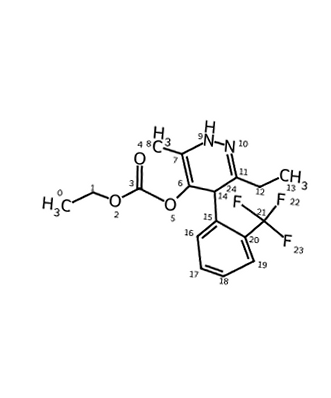 CCOC(=O)OC1=C(C)NN=C(CC)C1c1ccccc1C(F)(F)F